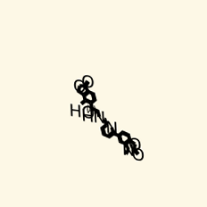 Cc1c([C@@H](O)CNCc2cccc(-c3ccc4oc(=O)n(C)c4c3)n2)ccc2c1COC2=O